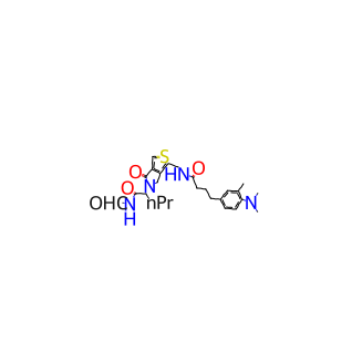 CCCC(C(=O)NC=O)N1Cc2c(csc2CNC(=O)CCCc2ccc(N(C)C)c(C)c2)C1=O